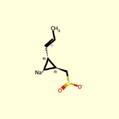 C/C=C/[C@H]1C[C@@H]1CS(=O)[O-].[Na+]